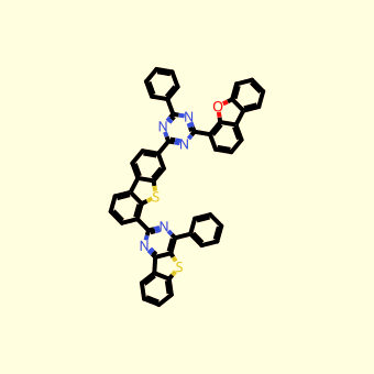 c1ccc(-c2nc(-c3ccc4c(c3)sc3c(-c5nc(-c6ccccc6)c6sc7ccccc7c6n5)cccc34)nc(-c3cccc4c3oc3ccccc34)n2)cc1